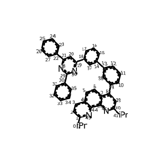 CC(C)c1ccc2ccc3c(-c4cccc(-c5cccc(-c6cc(-c7ccccc7)nc(-c7ccccc7)n6)c5)c4)cc(C(C)C)nc3c2n1